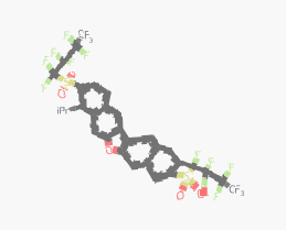 CC(C)c1c(S(=O)(=O)C(F)(F)C(F)(F)C(F)(F)C(F)(F)F)ccc2cc3c(cc12)oc1cc2cc4c(cc2cc13)C(F)(C(F)(F)C(F)(F)C(F)(F)F)S4(=O)=O